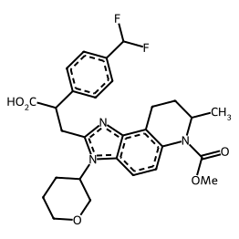 COC(=O)N1c2ccc3c(nc(CC(C(=O)O)c4ccc(C(F)F)cc4)n3C3CCCOC3)c2CCC1C